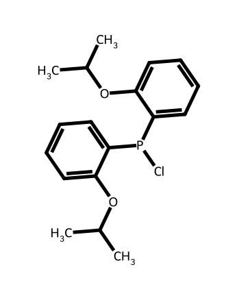 CC(C)Oc1ccccc1P(Cl)c1ccccc1OC(C)C